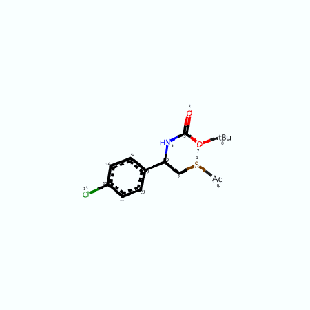 CC(=O)SCC(NC(=O)OC(C)(C)C)c1ccc(Cl)cc1